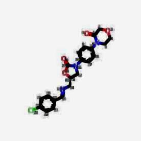 O=C1COCCN1c1ccc(N2C[C@@H](CN=Cc3ccc(Cl)cc3)OC2=O)cc1